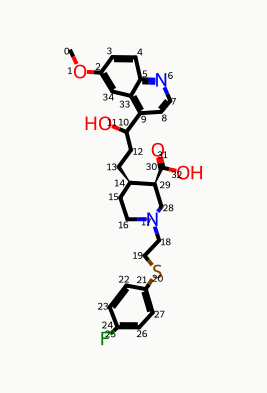 COc1ccc2nccc(C(O)CC[C@@H]3CCN(CCSc4ccc(F)cc4)C[C@@H]3C(=O)O)c2c1